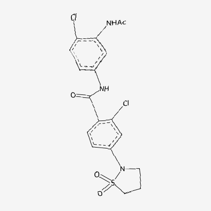 CC(=O)Nc1cc(NC(=O)c2ccc(N3CCCS3(=O)=O)cc2Cl)ccc1Cl